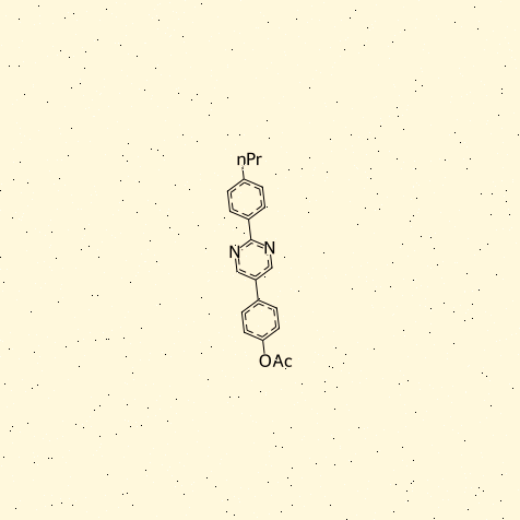 CCCc1ccc(-c2ncc(-c3ccc(OC(C)=O)cc3)cn2)cc1